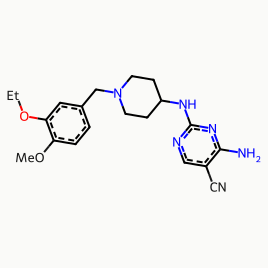 CCOc1cc(CN2CCC(Nc3ncc(C#N)c(N)n3)CC2)ccc1OC